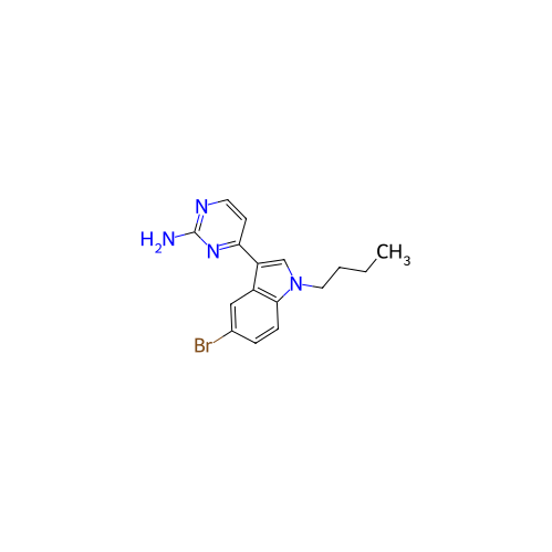 CCCCn1cc(-c2ccnc(N)n2)c2cc(Br)ccc21